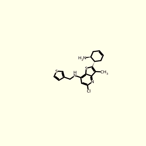 Cc1c([C@H]2CC=CC[C@@H]2N)sc2c(NCc3ccsc3)cc(Cl)nc12